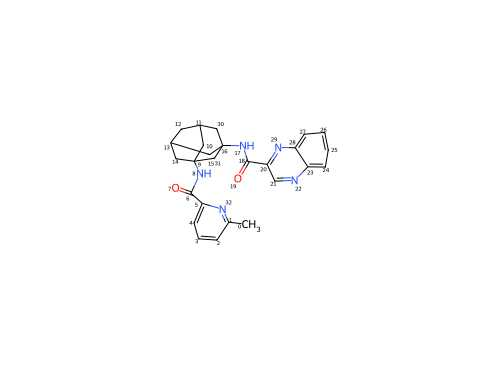 Cc1cccc(C(=O)NC23CC4CC(C2)CC(NC(=O)c2cnc5ccccc5n2)(C4)C3)n1